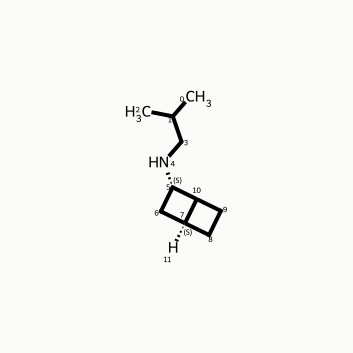 CC(C)CN[C@H]1C[C@@H]2CCC21